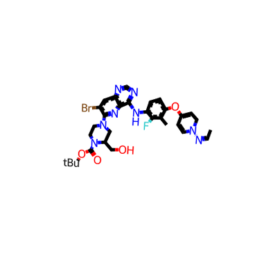 C/C=N\N1C=CC(Oc2ccc(Nc3ncnc4cc(Br)c(N5CCN(C(=O)OC(C)(C)C)C(CO)C5)nc34)c(F)c2C)=CC1